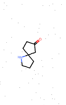 O=C1CCC2(CCCN2)C1